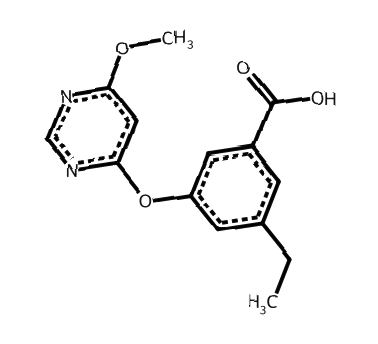 CCc1cc(Oc2cc(OC)ncn2)cc(C(=O)O)c1